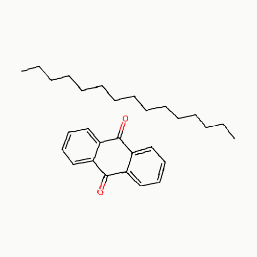 CCCCCCCCCCCCCCC.O=C1c2ccccc2C(=O)c2ccccc21